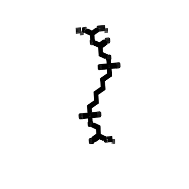 CC(=O)COS(=O)(=O)CCCCCCS(=O)(=O)OCC(=O)OC(C)C